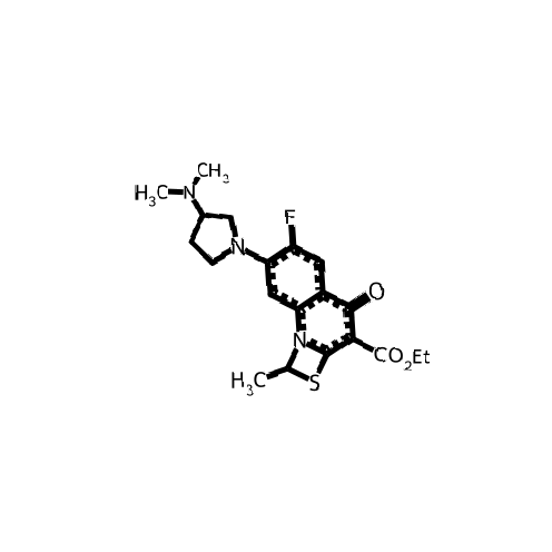 CCOC(=O)c1c2n(c3cc(N4CCC(N(C)C)C4)c(F)cc3c1=O)C(C)S2